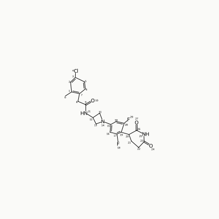 Cc1cc(Cl)ccc1CC(=O)NC1CN(c2cc(F)c(C3CCC(=O)NC3=O)c(F)c2)C1